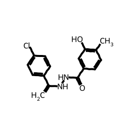 C=C(NNC(=O)c1ccc(C)c(O)c1)c1ccc(Cl)cc1